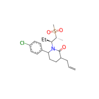 C=CCC1CCC(c2ccc(Cl)cc2)N([C@@H](CC)[C@@H](C)S(C)(=O)=O)C1=O